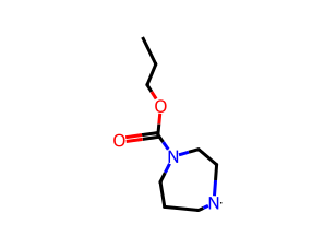 CCCOC(=O)N1CCC[N]CC1